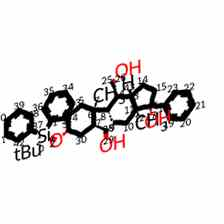 CC(C)(C)[Si](O[C@H]1CC[C@@](C)([C@H]2CC[C@@]3(C)[C@@H](CC[C@@]3(O)c3ccccc3)[C@@H]2CO)[C@@H](CO)C1)(c1ccccc1)c1ccccc1